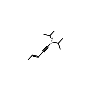 C/C=C/C#C[SiH](C(C)C)C(C)C